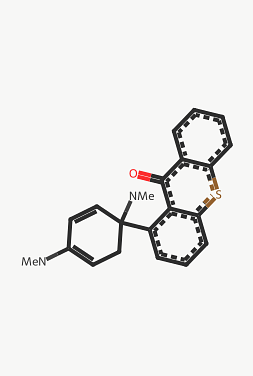 CNC1=CCC(NC)(c2cccc3sc4ccccc4c(=O)c23)C=C1